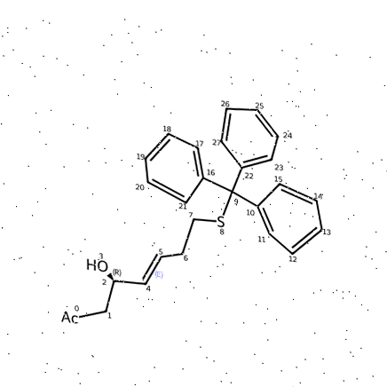 CC(=O)C[C@@H](O)/C=C/CCSC(c1ccccc1)(c1ccccc1)c1ccccc1